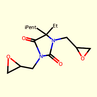 CCCC(C)C1(CC)C(=O)N(CC2CO2)C(=O)N1CC1CO1